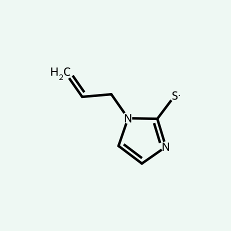 C=CCn1ccnc1[S]